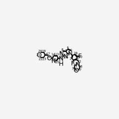 Fc1cc(-n2ccc3cnc(Nc4ccc(OCC5CCOCC5)nc4)nc32)cc(F)c1CN1CCOCC1